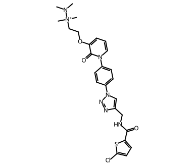 CN(C)[N+](C)(C)CCOc1cccn(-c2ccc(-n3cc(CNC(=O)c4ccc(Cl)s4)nn3)cc2)c1=O